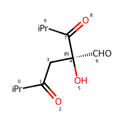 CC(C)C(=O)C[C@@](O)(C=O)C(=O)C(C)C